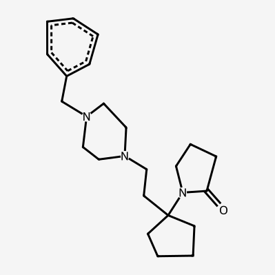 O=C1CCCN1C1(CCN2CCN(Cc3ccccc3)CC2)CCCC1